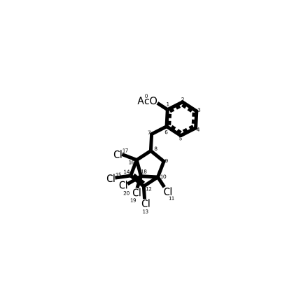 CC(=O)Oc1ccccc1CC1CC2(Cl)C(Cl)=C(Cl)C1(Cl)C2(Cl)Cl